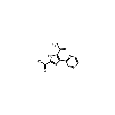 NC(=O)c1[nH]c(C(=O)O)nc1-c1cnccn1